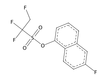 O=S(=O)(Oc1cccc2cc(F)ccc12)C(F)(F)CF